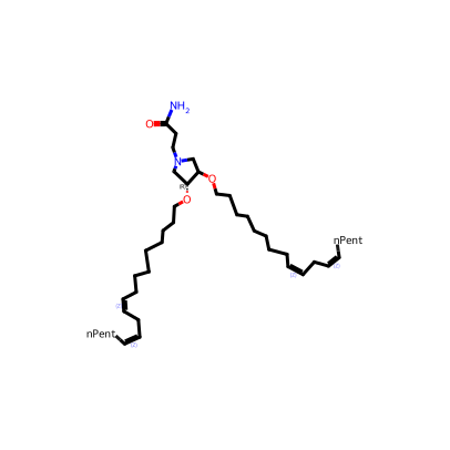 CCCCC/C=C\C/C=C\CCCCCCCCOC1CN(CCC(N)=O)C[C@H]1OCCCCCCCC/C=C\C/C=C\CCCCC